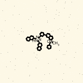 CN1c2ccc3ccc(-c4cccc(C5=NC(c6ccc7ccccc7c6)NC(c6ccc7ccccc7c6)=N5)c4)cc3c2OC1c1ccccc1